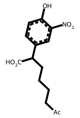 CC(=O)CCCCC(C(=O)O)c1ccc(O)c([N+](=O)[O-])c1